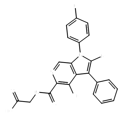 O=C(O)CNC(=O)c1ncc2c(c1O)c(-c1ccccc1)c(Br)n2-c1ccc(F)cc1